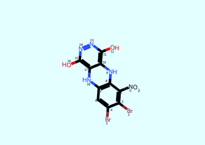 O=[N+]([O-])c1c(Br)c(Br)cc2c1Nc1c(O)nnc(O)c1N2